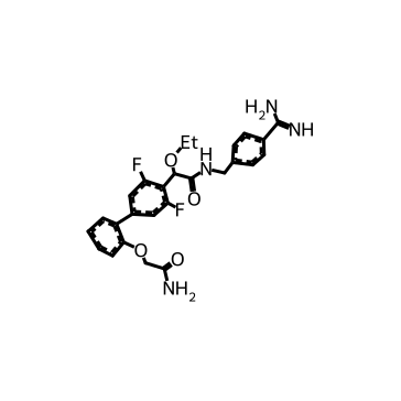 CCOC(C(=O)NCc1ccc(C(=N)N)cc1)c1c(F)cc(-c2ccccc2OCC(N)=O)cc1F